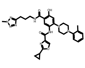 Cc1ccccc1N1CCN(c2cc(O)c(C(=O)NCCCc3nnn(C)n3)cc2NC(=O)c2coc(C3CC3)n2)CC1